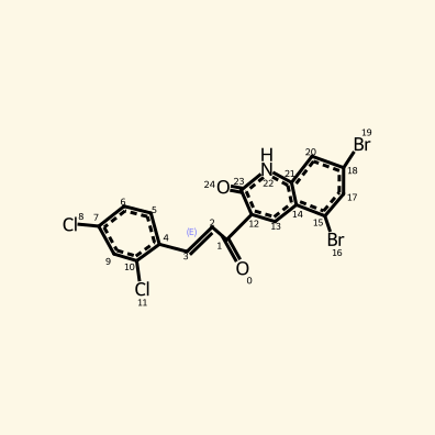 O=C(/C=C/c1ccc(Cl)cc1Cl)c1cc2c(Br)cc(Br)cc2[nH]c1=O